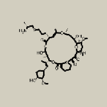 CO[C@H]1C[C@@H](C)[C@@]2(O)O[C@@H]1[C@@H](O)C[C@@H](C)C/C(C)=C/[C@@H](CCCSC[C@@H](C)N)C(=O)C[C@H](O)[C@@H](C)[C@@H](/C(C)=C/[C@@H]1CC[C@@H](O)[C@H](OC)C1)OC(=O)[C@@H]1CCCCN1C(=O)C2=O